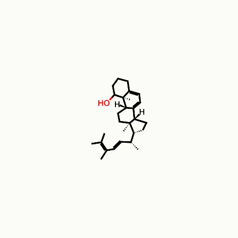 CC(C)=C(C)/C=C/[C@@H](C)[C@H]1CC[C@H]2C3=CC=C4CCCC(O)[C@]4(C)[C@H]3CC[C@]12C